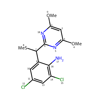 COc1cc(OC)nc(C(SC)c2cc(Cl)cc(Cl)c2N)n1